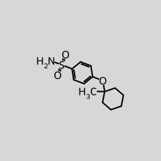 CC1(Oc2ccc(S(N)(=O)=O)cc2)CCCCC1